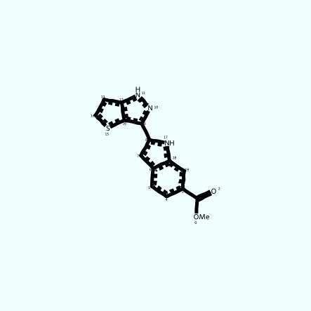 COC(=O)c1ccc2cc(-c3n[nH]c4ccsc34)[nH]c2c1